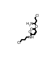 NC(CCCl)OC(=O)/C=C\C(=O)NCCCCl